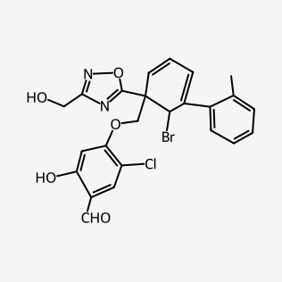 Cc1ccccc1C1=CC=CC(COc2cc(O)c(C=O)cc2Cl)(c2nc(CO)no2)C1Br